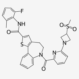 Cc1cccc(F)c1NC(=O)c1cc2c(s1)-c1ccccc1N(C(=O)c1cccc(N3CC(S(C)(=O)=O)C3)n1)CC2